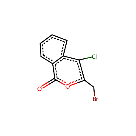 O=c1oc(CBr)c(Cl)c2ccccc12